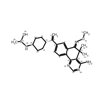 C=C(c1ccc2c(c1)C(=NOC)C(C)(C)c1c(N)ncnc1-2)[C@H]1CC[C@H](NB(C)O)CC1